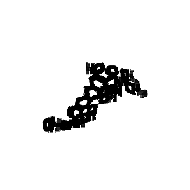 CN(C)NC(=O)C1=C(O)CC2CC3Cc4ccc(NC=O)c(O)c4C(=O)C3=C(O)C2(O)C1=O